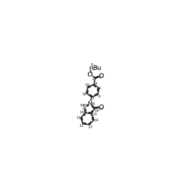 CCCCOC(=O)c1ccc(-n2sc3ccccc3c2=O)cc1